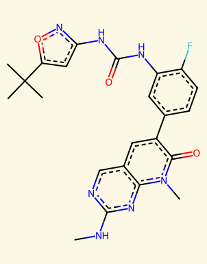 CNc1ncc2cc(-c3ccc(F)c(NC(=O)Nc4cc(C(C)(C)C)on4)c3)c(=O)n(C)c2n1